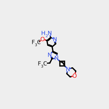 Nc1ncc(-c2cn(C34CC(N5CCOCC5)(C3)C4)c(CC(F)(F)F)n2)cc1OC(F)(F)F